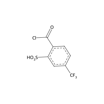 O=C(Cl)c1ccc(C(F)(F)F)cc1S(=O)(=O)O